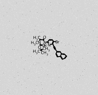 CC(C(=O)Nc1ccc(Br)c(C#Cc2ccc3ccccc3c2)n1)N(C)C(=O)OC(C)(C)C